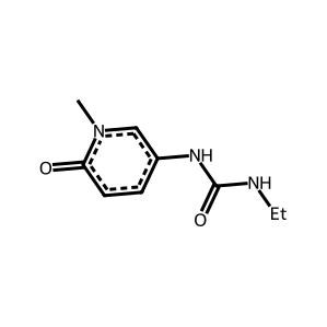 CCNC(=O)Nc1ccc(=O)n(C)c1